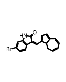 O=C1Nc2cc(Br)ccc2/C1=C/C1=CC=C2C=CC=CCC21